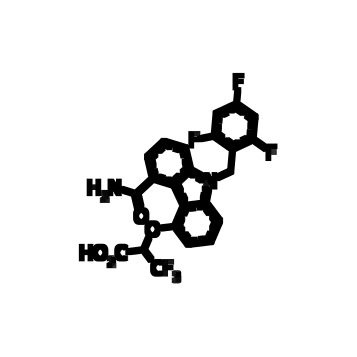 NC(=O)c1cccc2c1c1c(OC(C(=O)O)C(F)(F)F)cccc1n2Cc1c(F)cc(F)cc1F